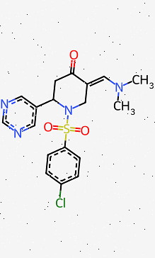 CN(C)C=C1CN(S(=O)(=O)c2ccc(Cl)cc2)C(c2cncnc2)CC1=O